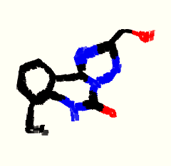 Cc1cccc2c1[nH]c(=O)n1nc(CO)nc21